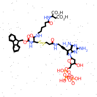 Nc1nc(N)c2c(C#CCNC(=O)CCSSCC(NC(=O)OCC3c4ccccc4-c4ccccc43)C(=O)NCCCCCC(=O)NC(CC(=O)O)C(=O)O)cn(C3CC(O)C(COP(=O)(O)OP(=O)(O)OP(=O)(O)O)O3)c2n1